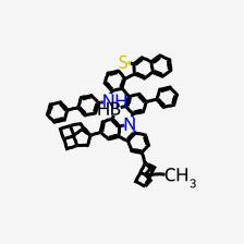 CC1CC2CC3C2CC3(c2ccc3c(c2)c2cc(C45CC6CC7CC(C4)C76C5)cc4c2n3-c2cc(-c3ccccc3)cc(-c3c(Nc5ccc(-c6ccccc6)cc5)ccc5sc6cc7ccccc7cc6c35)c2B4)C1